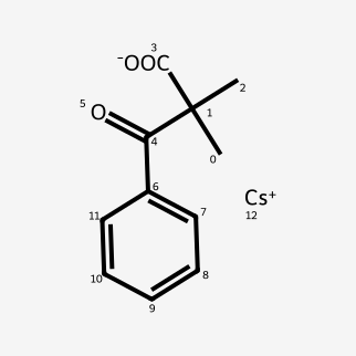 CC(C)(C(=O)[O-])C(=O)c1ccccc1.[Cs+]